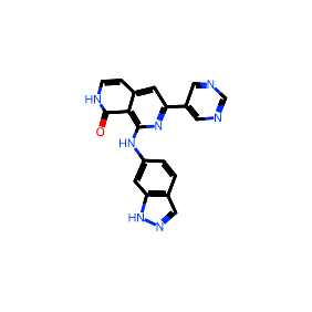 O=c1[nH]ccc2cc(-c3cncnc3)nc(Nc3ccc4cn[nH]c4c3)c12